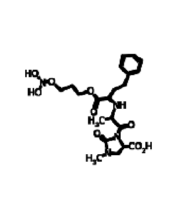 CC(NC(CCc1ccccc1)C(=O)OCCCON(O)O)C(=O)N1C(=O)N(C)CC1C(=O)O